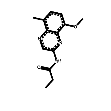 CCC(=O)Nc1cnc2c(C)ccc(OC)c2n1